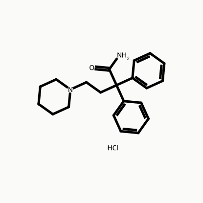 Cl.NC(=O)C(CCN1CCCCC1)(c1ccccc1)c1ccccc1